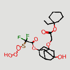 CCC1(OC(=O)COC23CC4CC(O)(C2)CC(OC(=O)C(F)(F)SOOO)(C4)C3)CCCCC1